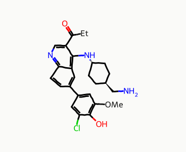 CCC(=O)c1cnc2ccc(-c3cc(Cl)c(O)c(OC)c3)cc2c1N[C@H]1CC[C@H](CN)CC1